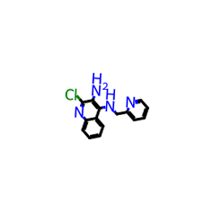 Nc1c(Cl)nc2ccccc2c1NCc1ccccn1